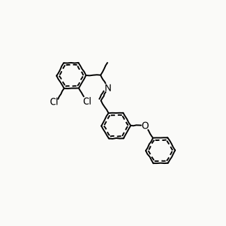 CC(N=Cc1cccc(Oc2ccccc2)c1)c1cccc(Cl)c1Cl